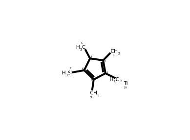 CC1=C(C)C(C)C([SiH3])=C1C.[Ti]